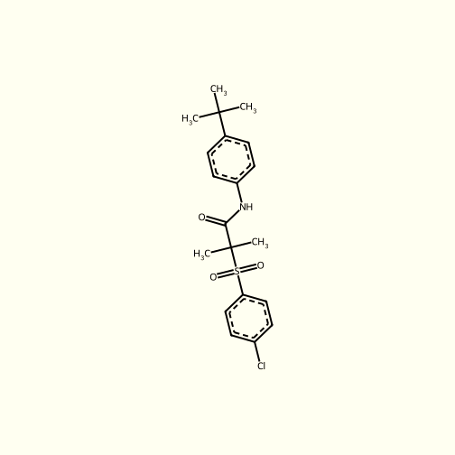 CC(C)(C)c1ccc(NC(=O)C(C)(C)S(=O)(=O)c2ccc(Cl)cc2)cc1